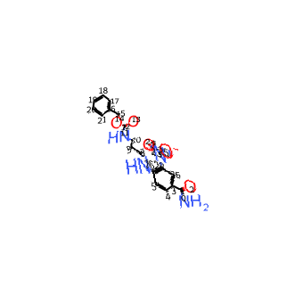 NC(=O)c1ccc(NCCCNC(=O)OCc2ccccc2)c([N+](=O)[O-])c1